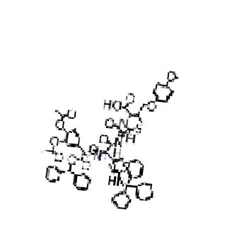 COc1ccc(OCC2=C(C(=O)O)N3C(=O)[C@H](NC(=O)/C(=N\O[C@@H](C(=O)OC(c4ccccc4)c4ccccc4)c4ccc(OC(C)=O)c(OC(C)=O)c4)c4csc(NC(c5ccccc5)(c5ccccc5)c5ccccc5)n4)[C@@H]3SC2)cc1